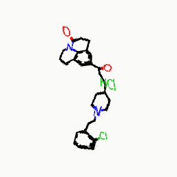 Cl.O=C(CCC1CCN(CCc2ccccc2Cl)CC1)c1cc2c3c(c1)CCC(=O)N3CCC2